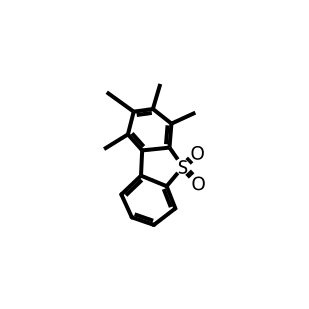 Cc1c(C)c(C)c2c(c1C)-c1ccccc1S2(=O)=O